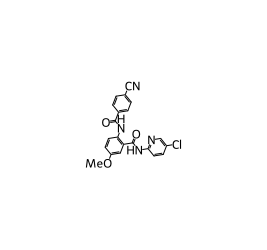 COc1ccc(NC(=O)c2ccc(C#N)cc2)c(C(=O)Nc2ccc(Cl)cn2)c1